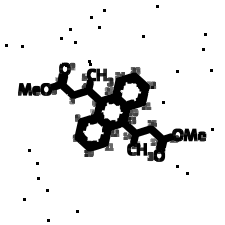 COC(=O)CC(C)c1c2ccccc2c(C(C)CC(=O)OC)c2ccccc12